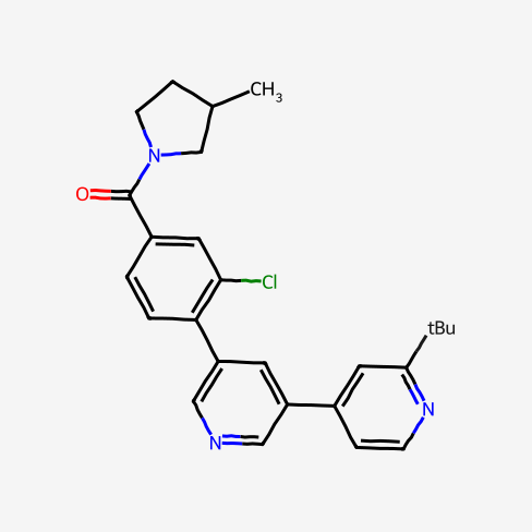 CC1CCN(C(=O)c2ccc(-c3cncc(-c4ccnc(C(C)(C)C)c4)c3)c(Cl)c2)C1